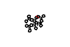 c1ccc(N(c2ccccc2)c2ccc3c4ccccc4n(-c4cc(N(c5ccccc5)c5ccc6c(c5)c5ccccc5n6-c5ccccc5)nc(N(c5ccccc5)c5ccc6c7ccccc7n(-c7ccccc7)c6c5)n4)c3c2)cc1